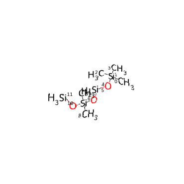 C[Si](C)(C)O[SiH2]O[Si](C)(C)O[SiH3]